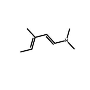 CC=C(C)/C=C/N(C)C